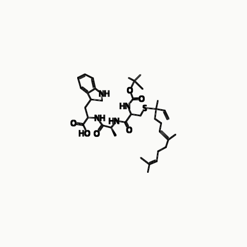 C=CC(C)(CC/C=C(\C)CCC=C(C)C)SCC(NC(=O)OC(C)(C)C)C(=O)N[C@@H](C)C(=O)NC(CC1CNc2ccccc21)C(=O)O